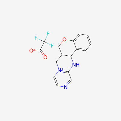 O=C([O-])C(F)(F)F.c1ccc2c(c1)OCC1C[n+]3ccncc3NC21